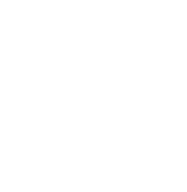 CC(C)C(=O)Oc1ccc(C(=O)OC(C)(C)C)cc1